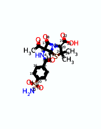 CC(=O)C1(NC(=O)c2ccc(S(N)(=O)=O)cc2)C(=O)N2[C@@H](C(=O)O)C(C)(C)S[C@@H]21